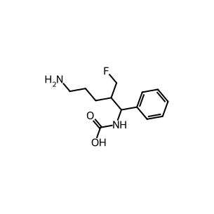 NCCCC(CF)C(NC(=O)O)c1ccccc1